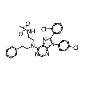 CS(=O)(=O)NCCN(CCc1ccccc1)c1ncnc2c1nc(-c1ccccc1Cl)n2-c1ccc(Cl)cc1